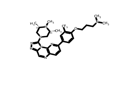 C[C@@H]1CN(c2nnc3cnc4ccc(-c5ccc(OCCCN(C)C)c(C(F)(F)F)c5)nc4n23)C[C@H](C)N1C